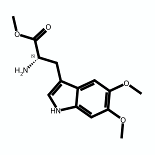 COC(=O)[C@@H](N)Cc1c[nH]c2cc(OC)c(OC)cc12